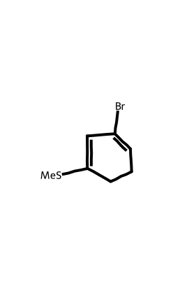 CSC1=CC(Br)=CCC1